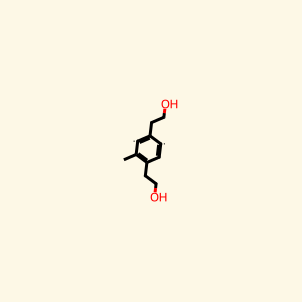 Cc1[c]c(CCO)[c]cc1CCO